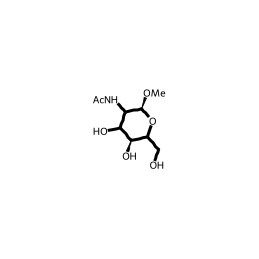 CO[C@H]1OC(CO)[C@@H](O)C(O)C1NC(C)=O